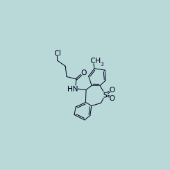 Cc1ccc2c(c1)C(NC(=O)CCCCl)c1ccccc1CS2(=O)=O